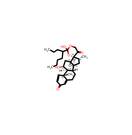 CCCCC(CCC)C1(O)OCC(=O)[C@@]2(O1)[C@H](C)C[C@H]1[C@@H]3CCC4=CC(=O)C=C[C@]4(C)[C@H]3[C@@H](O)C[C@@]12C